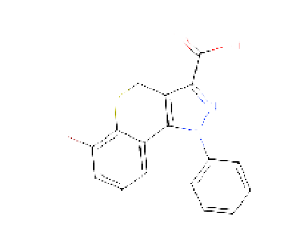 O=C(O)c1nn(-c2ccccc2)c2c1CSc1c(Br)cccc1-2